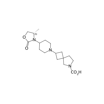 C[C@H]1COC(=O)N1C1CCN(C2CC3(CCN(C(=O)O)C3)C2)CC1